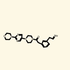 N=CCc1cccc(CC(=O)N2CCN(c3cnc(N4CCOCC4)nc3)CC2)c1